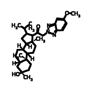 COc1ccc2nn(CC(=O)C3C(C(C)C)C[C@H]4[C@@H]5CC[C@H]6C[C@](C)(O)CC[C@]6(C)[C@H]5CC[C@]34C)nc2c1